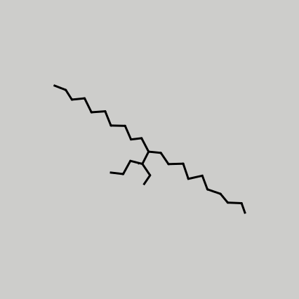 CCCCCCCCCCC(CCCCCCCCCC)[C](CC)CCC